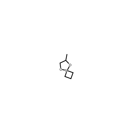 CC1CO[Si]2(CCC2)O1